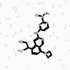 CCCCN(CC)c1nccc(Nc2cc3c(C(C)CO)ccc(N4CCC4)c3cn2)n1